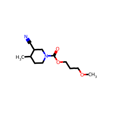 COCCCOC(=O)N1CCC(C)C(C#N)C1